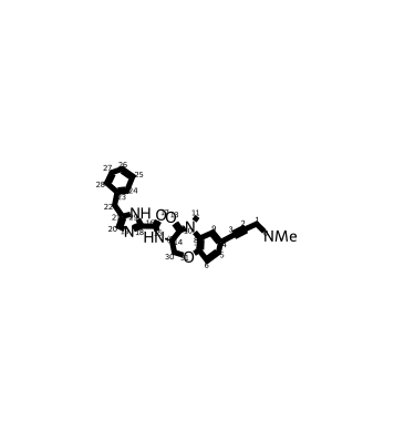 CNCC#Cc1ccc2c(c1)N(C)C(=O)[C@@H](NC(=O)c1ncc(Cc3ccccc3)[nH]1)CO2